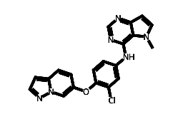 Cn1ccc2ncnc(Nc3ccc(Oc4ccc5ccnn5c4)c(Cl)c3)c21